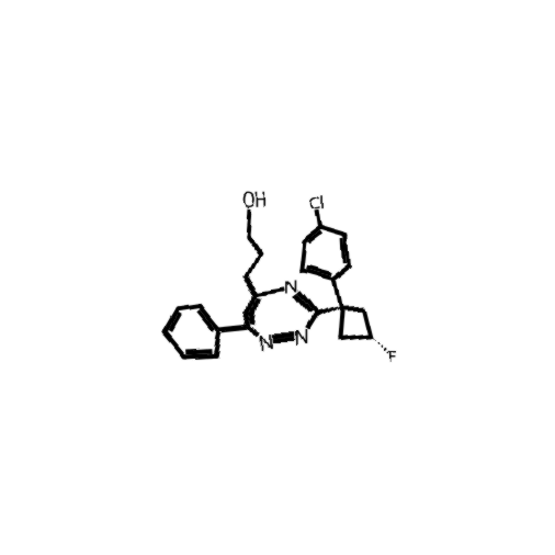 OCCCc1nc([C@]2(c3ccc(Cl)cc3)C[C@@H](F)C2)nnc1-c1ccccc1